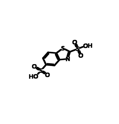 O=S(=O)(O)c1ccc2sc(S(=O)(=O)O)nc2c1